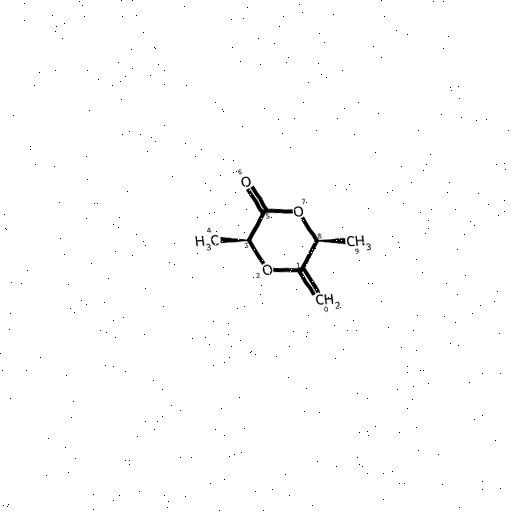 C=C1O[C@@H](C)C(=O)O[C@H]1C